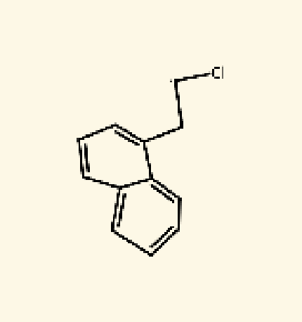 Cl[CH]Cc1cccc2ccccc12